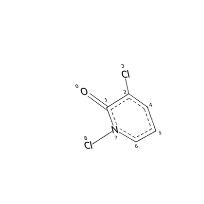 O=c1c(Cl)cccn1Cl